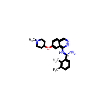 Cc1c([C@@H](N)Nc2nncc3ccc(OC4CCN(C)CC4)cc23)cccc1C(F)(F)F